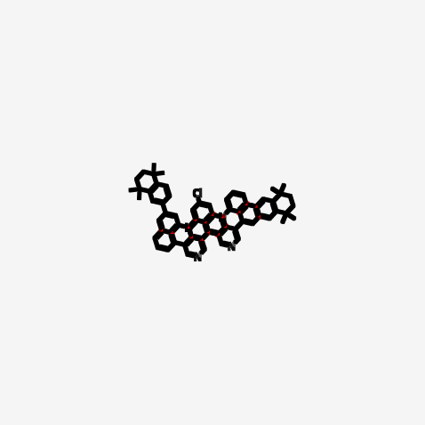 CC1(C)CCC(C)(C)c2cc(-c3cccc(N(c4cc(Cl)cc(N(c5cccc(-c6ccc7c(c6)C(C)(C)CCC7(C)C)c5)c5c(-c6ccccc6)cncc5-c5ccccc5)c4)c4c(-c5ccccc5)cncc4-c4ccccc4)c3)ccc21